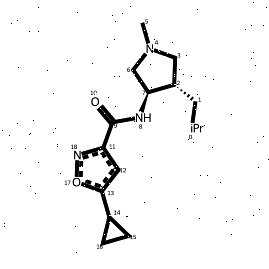 CC(C)C[C@H]1CN(C)C[C@@H]1NC(=O)c1cc(C2CC2)on1